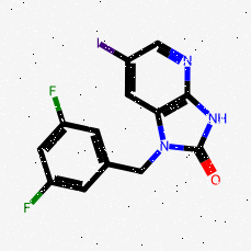 O=c1[nH]c2ncc(I)cc2n1Cc1cc(F)cc(F)c1